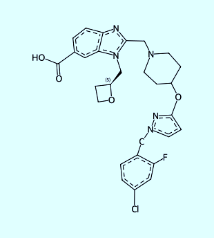 O=C(O)c1ccc2nc(CN3CCC(Oc4ccn(Cc5ccc(Cl)cc5F)n4)CC3)n(C[C@@H]3CCO3)c2c1